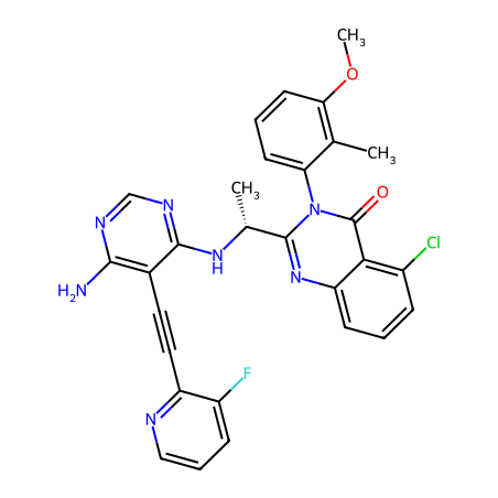 COc1cccc(-n2c([C@@H](C)Nc3ncnc(N)c3C#Cc3ncccc3F)nc3cccc(Cl)c3c2=O)c1C